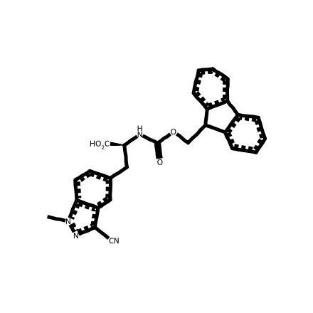 Cn1nc(C#N)c2cc(C[C@H](NC(=O)OCC3c4ccccc4-c4ccccc43)C(=O)O)ccc21